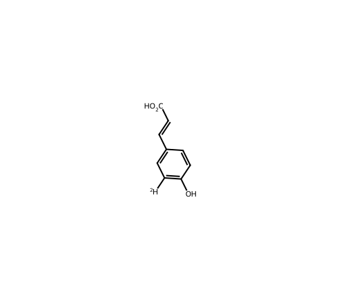 [2H]c1cc(C=CC(=O)O)ccc1O